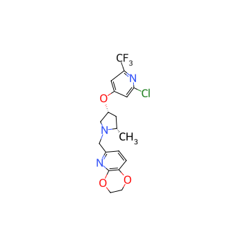 C[C@H]1C[C@@H](Oc2cc(Cl)nc(C(F)(F)F)c2)CN1Cc1ccc2c(n1)OCCO2